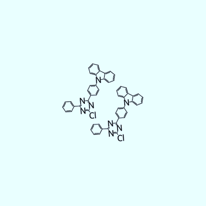 Clc1nc(-c2ccccc2)nc(-c2ccc(-n3c4ccccc4c4ccccc43)cc2)n1.Clc1nc(-c2ccccc2)nc(-c2ccc(-n3c4ccccc4c4ccccc43)cc2)n1